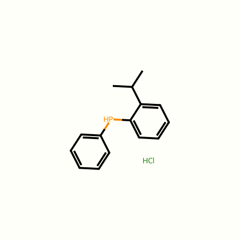 CC(C)c1ccccc1Pc1ccccc1.Cl